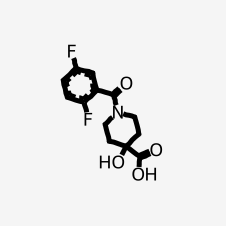 O=C(c1cc(F)ccc1F)N1CCC(O)(C(=O)O)CC1